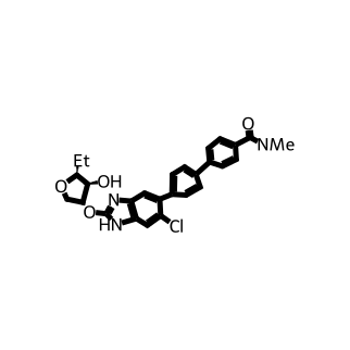 CC[C@H]1OC[C@@H](Oc2nc3cc(-c4ccc(-c5ccc(C(=O)NC)cc5)cc4)c(Cl)cc3[nH]2)[C@@H]1O